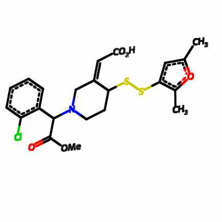 COC(=O)C(c1ccccc1Cl)N1CCC(SSc2cc(C)oc2C)/C(=C\C(=O)O)C1